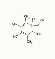 CC1=C(C)C(C)(CC#N)C(C)C(C)=C1C#N